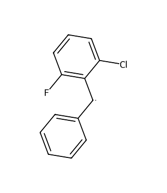 Fc1cccc(Cl)c1[CH]c1ccccc1